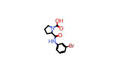 O=C(Nc1cccc(Br)c1)C1CCCN1C(=O)O